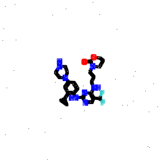 O=C1OCCCN1CCCNc1nc(Nc2ccc(N3CCNCC3)cc2C2CC2)ncc1C(F)F